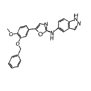 COc1ccc(-c2cnc(Nc3ccc4[nH]ncc4c3)o2)cc1OCc1ccccc1